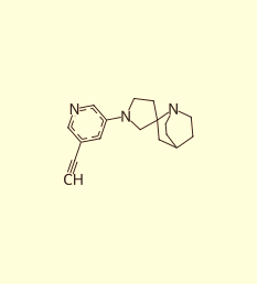 C#Cc1cncc(N2CCC3(CC4CCN3CC4)C2)c1